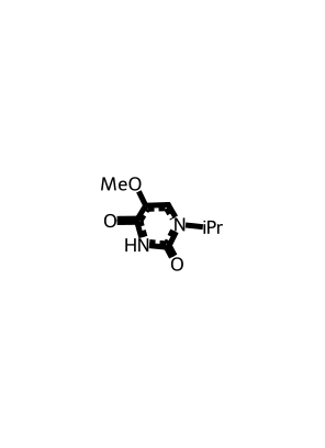 COc1cn(C(C)C)c(=O)[nH]c1=O